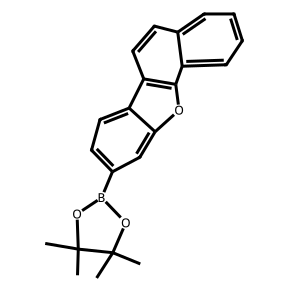 CC1(C)OB(c2ccc3c(c2)oc2c4ccccc4ccc32)OC1(C)C